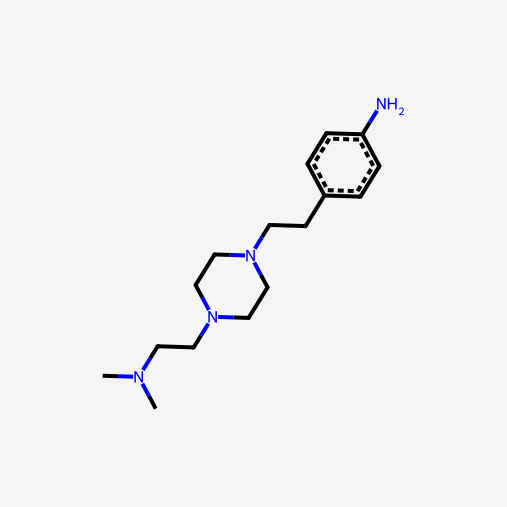 CN(C)CCN1CCN(CCc2ccc(N)cc2)CC1